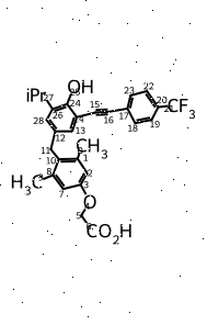 Cc1cc(OCC(=O)O)cc(C)c1Cc1cc(C#Cc2ccc(C(F)(F)F)cc2)c(O)c(C(C)C)c1